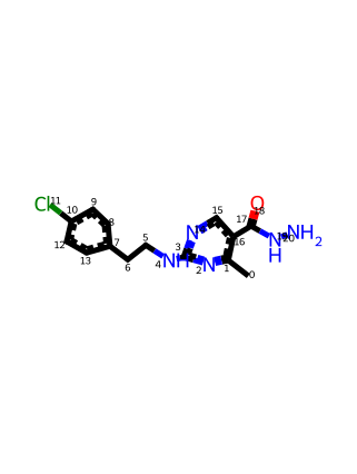 Cc1nc(NCCc2ccc(Cl)cc2)ncc1C(=O)NN